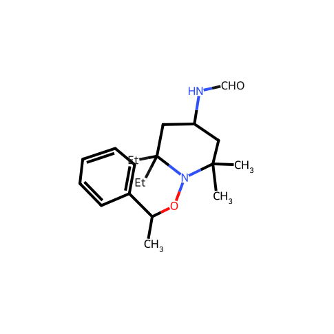 CCC1(CC)CC(NC=O)CC(C)(C)N1OC(C)c1ccccc1